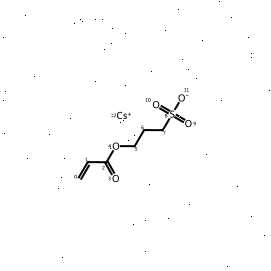 C=CC(=O)OCCCS(=O)(=O)[O-].[Cs+]